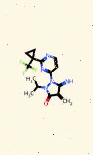 C=C1C(=N)N(c2ccnc(C3(C(F)(F)F)CC3)n2)N(C(C)C)C1=O